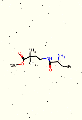 CC(C)C[C@H](N)C(=O)NCCC(C)(C)C(=O)OC(C)(C)C